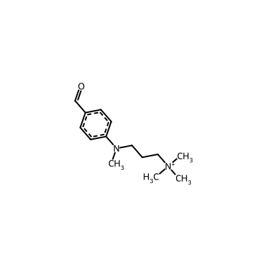 CN(CCC[N+](C)(C)C)c1ccc(C=O)cc1